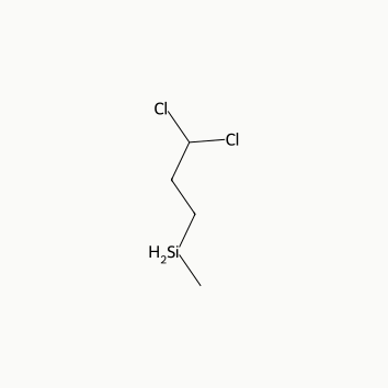 C[SiH2]CCC(Cl)Cl